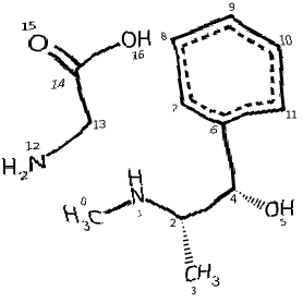 CN[C@@H](C)[C@@H](O)c1ccccc1.NCC(=O)O